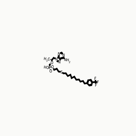 C[C@H](Cn1cnc2c(N)ncnc21)OCP(=O)(O)OCCCSCCCCCCCCCCCc1ccc(C(F)(F)F)cc1